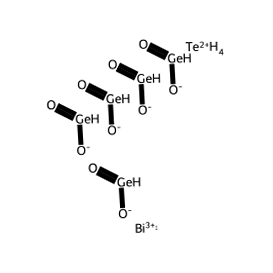 [Bi+3].[O]=[GeH][O-].[O]=[GeH][O-].[O]=[GeH][O-].[O]=[GeH][O-].[O]=[GeH][O-].[TeH4+2]